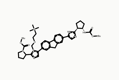 CC(C)(C)OC(=O)N[C@H]1CCC[C@@H]1c1ncc(-c2ccc3c(c2)Cc2cc(-c4cnc(C5CCCN5C(=O)OC(C)(C)C)n4COCC[Si](C)(C)C)ccc2-3)[nH]1